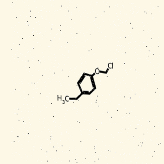 CCc1ccc(OCCl)cc1